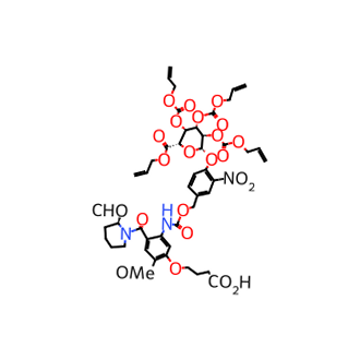 C=CCOC(=O)O[C@@H]1[C@@H](OC(=O)OCC=C)[C@H](Oc2ccc(COC(=O)Nc3cc(OCCCC(=O)O)c(OC)cc3C(=O)N3CCCC[C@H]3C=O)cc2[N+](=O)[O-])O[C@H](C(=O)OCC=C)[C@H]1OC(=O)OCC=C